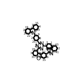 c1ccc(-c2nc(-c3ccc(-n4c5ccccc5c5ccccc54)cc3)nc(-c3cccc4oc5ccc(-c6nc7ccccc7o6)cc5c34)n2)cc1